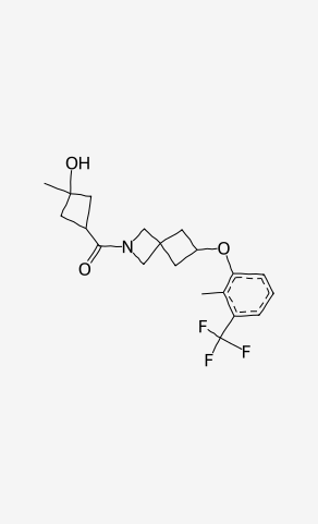 Cc1c(OC2CC3(C2)CN(C(=O)C2CC(C)(O)C2)C3)cccc1C(F)(F)F